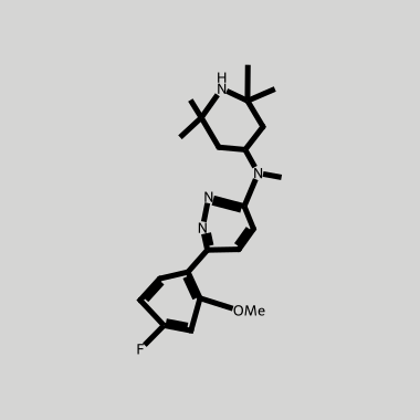 COc1cc(F)ccc1-c1ccc(N(C)C2CC(C)(C)NC(C)(C)C2)nn1